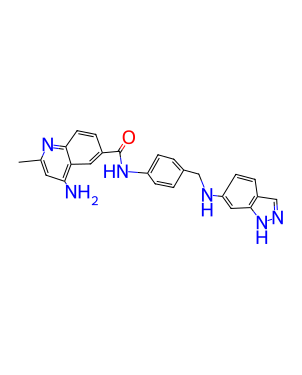 Cc1cc(N)c2cc(C(=O)Nc3ccc(CNc4ccc5cn[nH]c5c4)cc3)ccc2n1